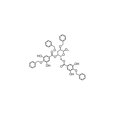 CO[C@H]1O[C@@H](COC(=O)c2cc(O)c(OCc3ccccc3)c(O)c2)[C@@H](OC(=O)c2cc(O)c(OCc3ccccc3)c(O)c2)[C@H](OCc2ccccc2)[C@H]1OCc1ccccc1